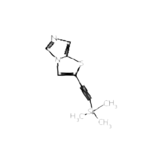 C[Si](C)(C)C#Cc1cn2cncc2s1